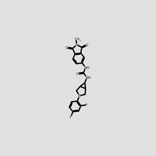 CN1C(=O)c2ccc(NC(=O)NC3C4CN(c5ccc(F)cc5F)CC43)cc2C1=O